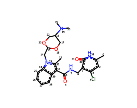 Cc1cc(Cl)c(CNC(=O)c2c(C)n(CC3OCC(N(C)C)CO3)c3ccccc23)c(=O)[nH]1